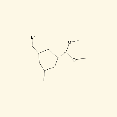 COC(OC)[C@@H]1CC(C)CC(CBr)C1